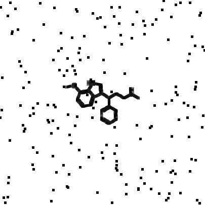 CNCCC(c1ccccc1)c1c[nH]c2c(OC)cccc12